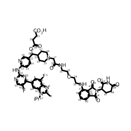 Cc1nc2c(F)cc(-c3nc(Nc4ccc([C@H](OC(=O)CCC(=O)O)C5CCN(CC(=O)NCCOCCNc6cccc7c6C(=O)N(C6CCC(=O)NC6=O)C7=O)CC5)cn4)ncc3F)cc2n1C(C)C